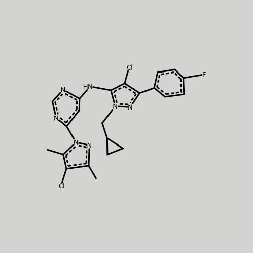 Cc1nn(-c2cc(Nc3c(Cl)c(-c4ccc(F)cc4)nn3CC3CC3)ncn2)c(C)c1Cl